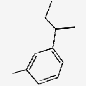 CC[C](C)c1cccc(C)c1